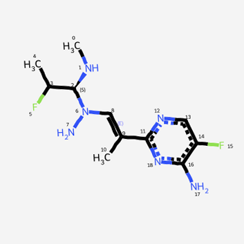 CN[C@H](C(C)F)N(N)/C=C(\C)c1ncc(F)c(N)n1